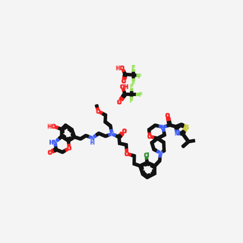 COCCCN(CCNCCc1ccc(O)c2c1OCC(=O)N2)C(=O)CCOCCc1cccc(CN2CCC3(CC2)CN(C(=O)c2csc(C(C)C)n2)CCO3)c1Cl.O=C(O)C(F)(F)F.O=C(O)C(F)(F)F